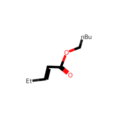 [CH2]CCCCOC(=O)C=CCC